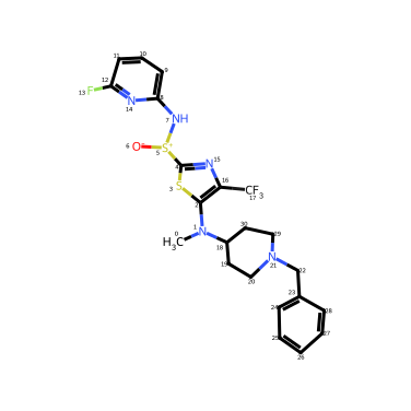 CN(c1sc([S+]([O-])Nc2cccc(F)n2)nc1C(F)(F)F)C1CCN(Cc2ccccc2)CC1